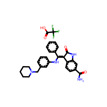 NC(=O)c1ccc2c(c1)NC(=O)C2=C(Nc1cccc(CN2CCCCC2)c1)c1ccccc1.O=C(O)C(F)(F)F